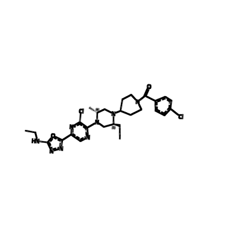 CCNc1nnc(-c2cnc(N3C[C@H](CC)N(C4CCN(C(=O)c5ccc(Cl)cc5)CC4)C[C@H]3C)c(Cl)n2)o1